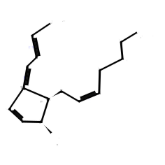 CCCCC/C=C/C=C1/C=C[C@H](O)[C@@H]1C/C=C\CCCC(=O)O